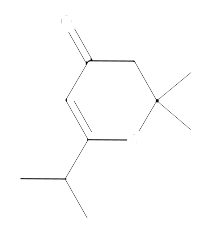 CC(C)C1=CC(=O)CC(C)(C)S1